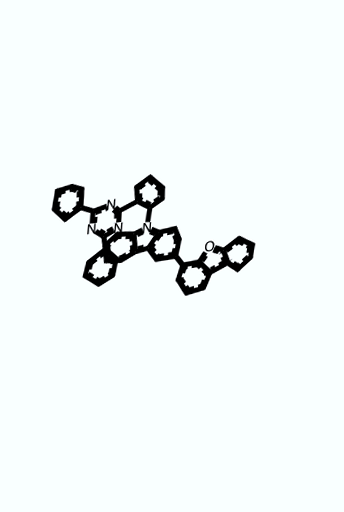 c1ccc(-c2nc(-c3ccccc3)nc(-c3ccccc3-n3c4ccccc4c4cc(-c5cccc6c5oc5ccccc56)ccc43)n2)cc1